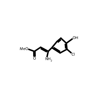 COC(=O)C=C(N)c1ccc(O)c(Cl)c1